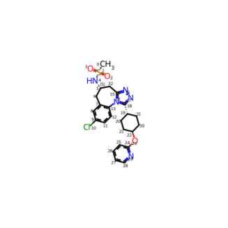 CS(=O)(=O)N[C@H]1Cc2cc(Cl)ccc2-n2c(nnc2[C@H]2CC[C@H](Oc3ccccn3)CC2)C1